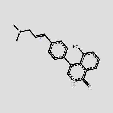 CN(C)C/C=C/c1ccc(-c2c[nH]c(=O)c3cccc(O)c23)cc1